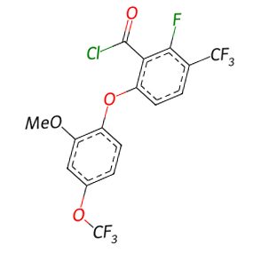 COc1cc(OC(F)(F)F)ccc1Oc1ccc(C(F)(F)F)c(F)c1C(=O)Cl